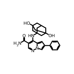 NC(=O)c1cnn2cc(-c3ccccc3)cc2c1NC12CC3CC(O)(CC(O)(C3)C1)C2